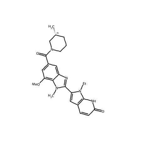 CCn1c(-c2nc3cc(C(=O)N4CCC[C@@H](C)C4)cc(OC)c3n2C)cc2ccc(=O)[nH]c21